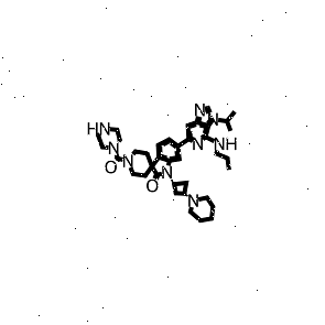 CCCNc1nc(-c2ccc3c(c2)N([C@H]2C[C@@H](N4CCCCC4)C2)C(=O)C32CCN(C(=O)N3CCNCC3)CC2)cc2ncn(C(C)C)c12